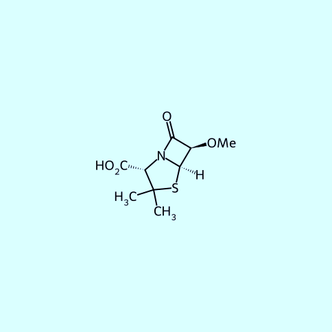 CO[C@@H]1C(=O)N2[C@@H]1SC(C)(C)[C@@H]2C(=O)O